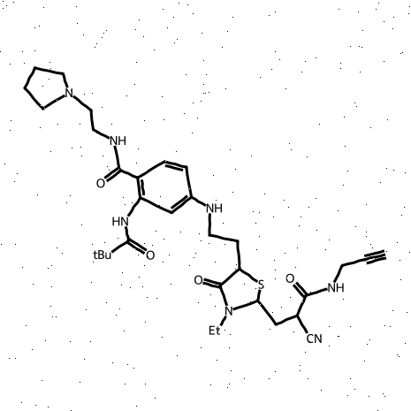 C#CCNC(=O)C(C#N)CC1SC(CCNc2ccc(C(=O)NCCN3CCCC3)c(NC(=O)C(C)(C)C)c2)C(=O)N1CC